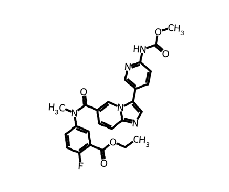 CCOC(=O)c1cc(N(C)C(=O)c2ccc3ncc(-c4ccc(NC(=O)OC)nc4)n3c2)ccc1F